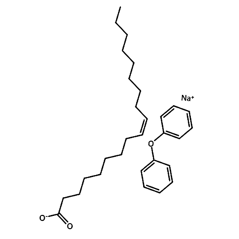 CCCCCCCC/C=C\CCCCCCCC(=O)[O-].[Na+].c1ccc(Oc2ccccc2)cc1